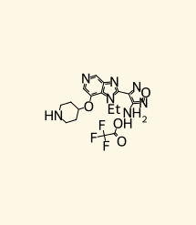 CCn1c(-c2nonc2N)nc2cncc(OC3CCNCC3)c21.O=C(O)C(F)(F)F